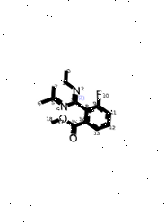 CC/N=C(\N=C(C)C)c1c(F)cccc1C(=O)OC